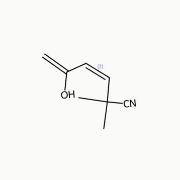 C=C(O)/C=C\C(C)(C)C#N